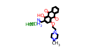 CN1CCN(CCOc2cc(CN)c(O)c3c2C(=O)c2ccccc2C3=O)CC1.Cl.Cl.Cl